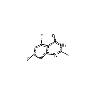 Cc1nc2cc(F)cc(F)c2c(=O)[nH]1